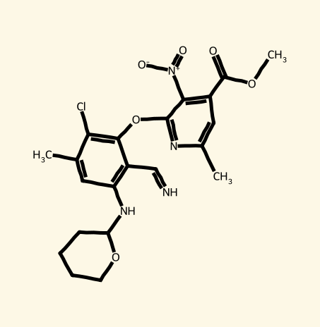 COC(=O)c1cc(C)nc(Oc2c(Cl)c(C)cc(NC3CCCCO3)c2C=N)c1[N+](=O)[O-]